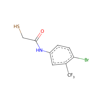 O=C(CS)Nc1ccc(Br)c(C(F)(F)F)c1